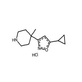 CC1(c2cc(C3CC3)on2)CCNCC1.Cl